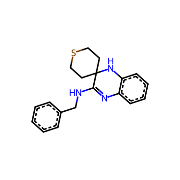 c1ccc(CNC2=Nc3ccccc3NC23CCSCC3)cc1